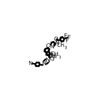 Br.CN(C(=O)c1ccc(C(F)(F)F)cc1)c1ccc(Oc2ccc3cc(C(=O)N4CCN(Cc5ccc(C#N)cc5)CC4)n(C)c3c2)nc1